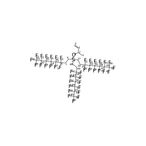 C=CC(C)O[Si](CCC(F)(F)C(F)(F)C(F)(F)C(F)(F)C(F)(F)C(F)(F)F)(CCC(F)(F)C(F)(F)C(F)(F)C(F)(F)C(F)(F)C(F)(F)F)CCC(F)(F)C(F)(F)C(F)(F)C(F)(F)C(F)(F)C(F)(F)F